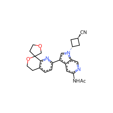 CC(=O)Nc1cc2c(-c3ccc4c(n3)C3(CCOC3)OCC4)cn([C@H]3C[C@H](C#N)C3)c2cn1